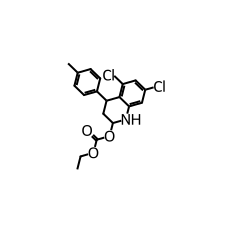 CCOC(=O)OC1CC(c2ccc(C)cc2)c2c(Cl)cc(Cl)cc2N1